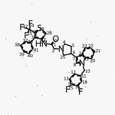 O=C(CN1CCC(c2cn(Cc3ccc(F)c(F)c3)c3ccccc23)C1)Nc1csc(C(F)(F)F)c1-c1ccccc1